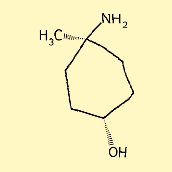 C[C@]1(N)CC[C@H](O)CC1